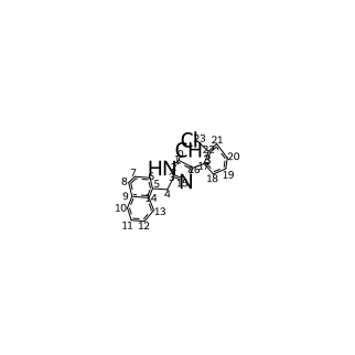 Cc1[nH]c(Cc2cccc3ccccc23)nc1-c1ccccc1Cl